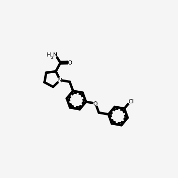 NC(=O)C1CCCN1Cc1cccc(OCc2cccc(Cl)c2)c1